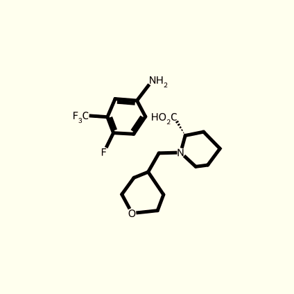 Nc1ccc(F)c(C(F)(F)F)c1.O=C(O)[C@@H]1CCCCN1CC1CCOCC1